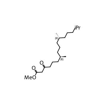 COC(=O)CC(=O)CCC[C@H](C)CCC[C@H](C)CCCC(C)C